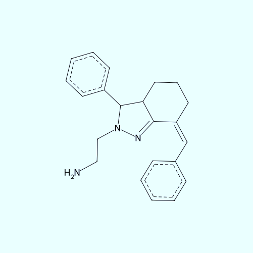 NCCN1N=C2/C(=C\c3ccccc3)CCCC2C1c1ccccc1